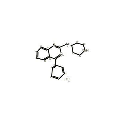 Cl.c1ccc(-c2nc(NC3CCNCC3)nc3ccccc23)cc1